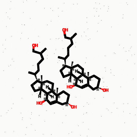 CC(CO)CCCC(C)[C@H]1CC[C@H]2[C@@H]3[C@H](O)C=C4C[C@@H](O)CC[C@]4(C)[C@H]3CC[C@]12C.CC(CO)CCCC(C)[C@H]1CC[C@H]2[C@@H]3[C@H](O)C=C4C[C@@H](O)CC[C@]4(C)[C@H]3CC[C@]12C